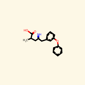 CC(CC(=N)Cc1cccc(Oc2ccccc2)c1)C(=O)O